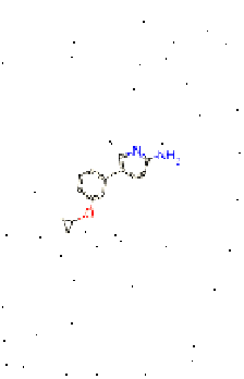 Nc1ccc(-c2cccc(OC3CC3)c2)cn1